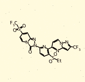 CCS(=O)(=O)c1ccc(-n2nc3cc(S(=O)(=O)C(F)(F)F)ccn3c2=O)nc1-c1ccn2nc(C(F)(F)F)cc2n1